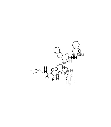 C=CCNC(=O)C(=O)C(CC)NC(=O)[C@@H]1[C@@H]2[C@H](CN1C(=O)[C@@H](NC(=O)N[C@H](CN1CCCCC1=O)C(C)(C)C)C1Cc3ccccc3C1)C2(C)C